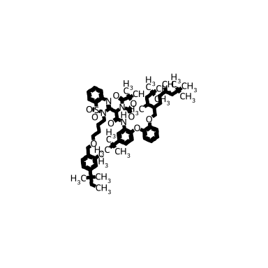 CCC(C)(C)c1ccc(COCCCCN2C(C(C(=O)Nc3cc(C(C)(C)C)ccc3Oc3ccccc3OCC(CCC(C)CC(C)(C)C)C(C)CC(C)(C)C)N3C(=O)OC(C)(C)C3=O)=Nc3ccccc3S2(=O)=O)c(C)c1